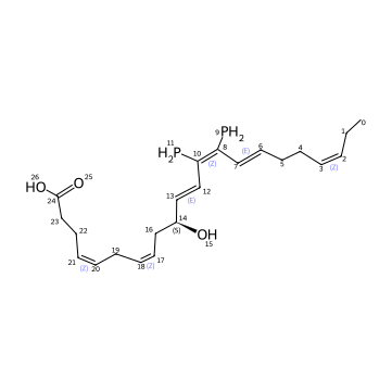 CC/C=C\CC/C=C/C(P)=C(P)\C=C\[C@@H](O)C/C=C\C/C=C\CCC(=O)O